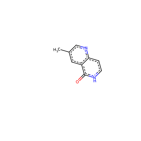 Cc1cnc2cc[nH]c(=O)c2c1